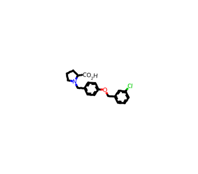 O=C(O)C1CCCN1Cc1ccc(OCc2cccc(Cl)c2)cc1